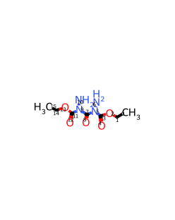 CCOC(=O)N(N)C(=O)N(N)C(=O)OCC